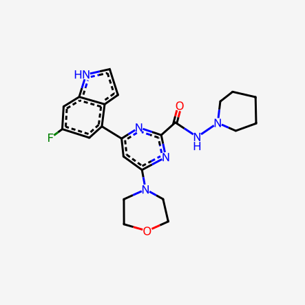 O=C(NN1CCCCC1)c1nc(-c2cc(F)cc3[nH]ccc23)cc(N2CCOCC2)n1